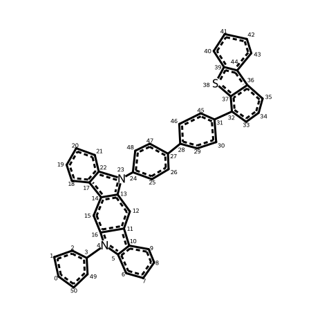 c1ccc(-n2c3ccccc3c3cc4c(cc32)c2ccccc2n4-c2ccc(-c3ccc(-c4cccc5c4sc4ccccc45)cc3)cc2)cc1